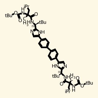 CC(C)CC(C)(NC(=O)OC(C)(C)C)C(=O)N[C@H](c1ncc(-c2ccc(-c3ccc(-c4cnc([C@@H](NC(=O)C(C)(CC(C)C)NC(=O)OC(C)(C)C)C(C)(C)C)[nH]4)cc3)cc2)[nH]1)C(C)(C)C